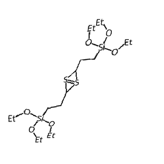 CCO[Si](CCC1S2=S1C2CC[Si](OCC)(OCC)OCC)(OCC)OCC